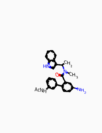 CC(=O)Nc1cccc(-c2ccc(N)cc2C(=O)N(C)C(C)c2c[nH]c3ccccc23)c1